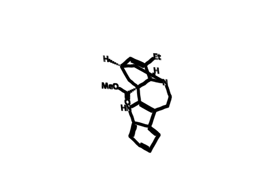 CCC1=C[C@H]2CN3CCc4c([nH]c5ccccc45)[C@@](C(=O)OC)(C2)[C@@H]13